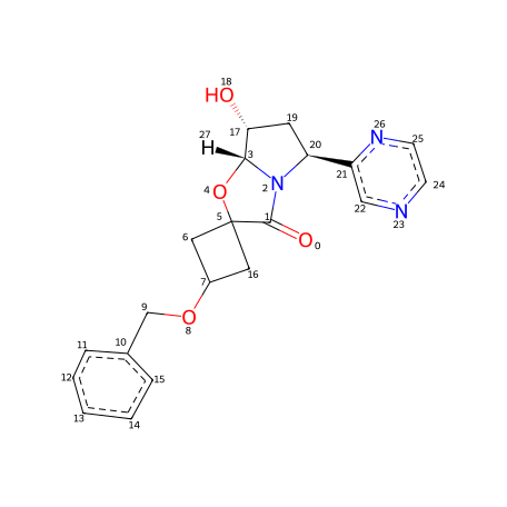 O=C1N2[C@H](OC13CC(OCc1ccccc1)C3)[C@H](O)C[C@H]2c1cnccn1